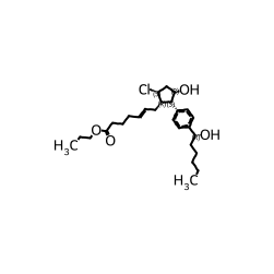 CCCCC[C@@H](O)c1ccc([C@@H]2[C@@H](CC=CCCCC(=O)OCCC)[C@@H](Cl)C[C@H]2O)cc1